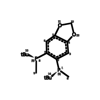 C[P@@](c1cc2c(cc1[P@](C)C(C)(C)C)OCO2)C(C)(C)C